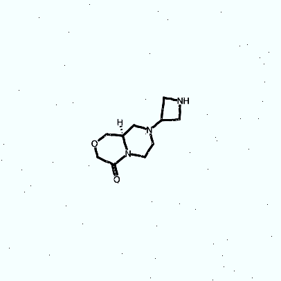 O=C1COC[C@H]2CN(C3CNC3)CCN12